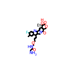 CC[C@@]1(O)C(=O)OCc2c1cc1n(c2=O)Cc2c-1nc1cc(F)c(C)cc1c2/C=C/COCNC(=O)CN